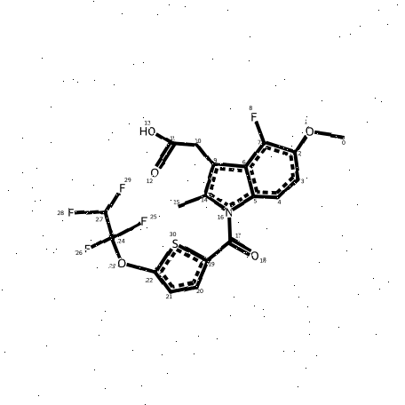 COc1ccc2c(c1F)c(CC(=O)O)c(C)n2C(=O)c1ccc(OC(F)(F)C(F)F)s1